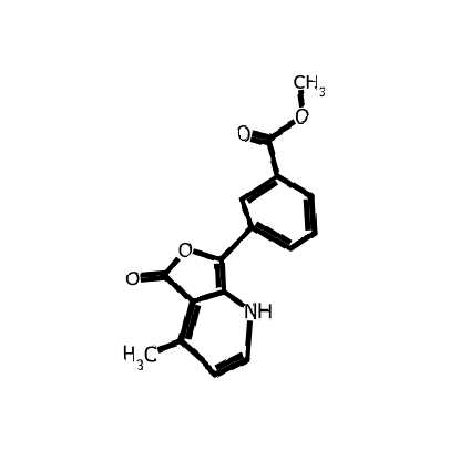 COC(=O)c1cccc(-c2oc(=O)c3c(C)cc[nH]c2-3)c1